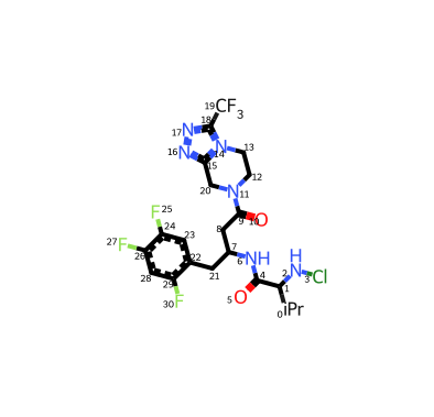 CC(C)C(NCl)C(=O)NC(CC(=O)N1CCn2c(nnc2C(F)(F)F)C1)Cc1cc(F)c(F)cc1F